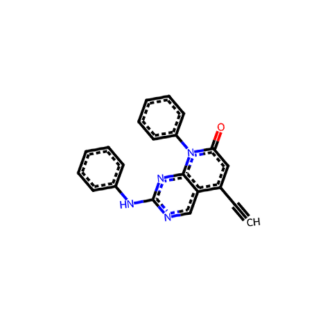 C#Cc1cc(=O)n(-c2ccccc2)c2nc(Nc3ccccc3)ncc12